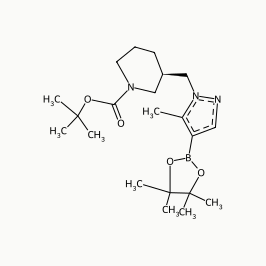 Cc1c(B2OC(C)(C)C(C)(C)O2)cnn1C[C@@H]1CCCN(C(=O)OC(C)(C)C)C1